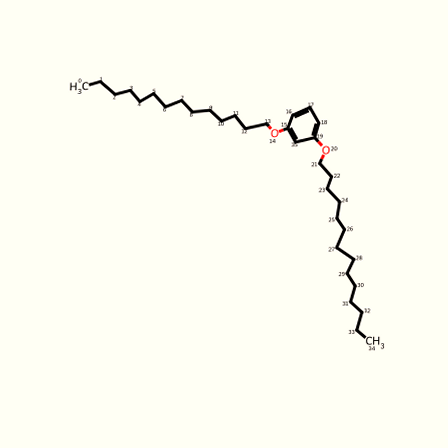 CCCCCCCCCCCCCCOc1c[c]cc(OCCCCCCCCCCCCCC)c1